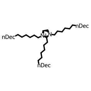 CCCCCCCCCCCCCCCCc1n(CCCCCCCCCCCCCCCC)cc[n+]1CCCCCCCCCCCCCCCC